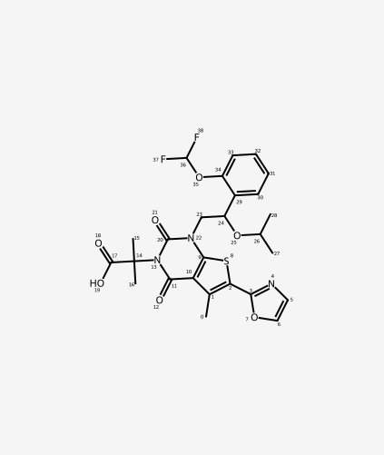 Cc1c(-c2ncco2)sc2c1c(=O)n(C(C)(C)C(=O)O)c(=O)n2CC(OC(C)C)c1ccccc1OC(F)F